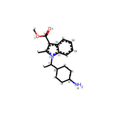 COC(=O)c1c(C)n(C(C)C2CCC(N)CC2)c2ccccc12